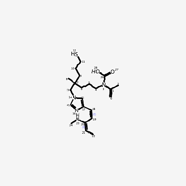 C=C(C)N(CCCC(C)(CCCS)Cn1cnc(/C=C\C(=C/C)NC)c1)C(=O)O